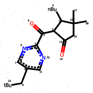 CCCCC1C(C(=O)c2ncc(CC(C)(C)C)cn2)C(=O)CC1(C)C